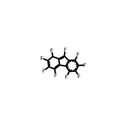 FC1=C2C(=C(F)c3c(F)c(F)c(F)c(F)c32)C(F)C(F)=C1F